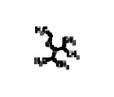 CCOB(C(C)C)C(C)C